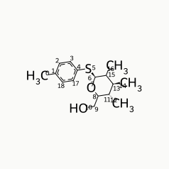 Cc1ccc(S[C@@H]2OC(CO)[C@@H](C)[C@H](C)C2C)cc1